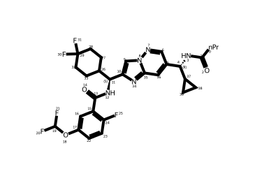 CCCC(=O)N[C@@H](c1cnn2cc([C@@H](NC(=O)c3cc(OC(F)F)ccc3F)C3CCC(F)(F)CC3)nc2c1)C1CC1